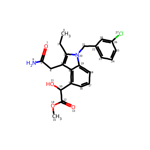 CCc1c(CC(N)=O)c2c(C(O)C(=O)OC)cccc2n1Cc1cccc(Cl)c1